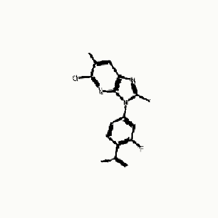 C=C(C)c1ccc(-n2c(C)nc3cc(C)c(Cl)nc32)cc1F